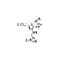 CCOC(=O)c1cc(NCc2cncn2CC)c(NC(=O)OC(C)(C)C)s1